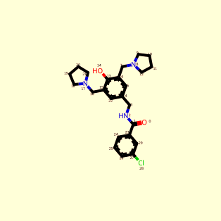 O=C(NCc1cc(CN2CCCC2)c(O)c(CN2CCCC2)c1)c1cccc(Cl)c1